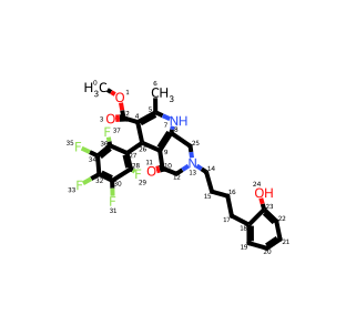 COC(=O)C1=C(C)NC2=C(C(=O)CN(CCCCc3ccccc3O)C2)C1c1c(F)c(F)c(F)c(F)c1F